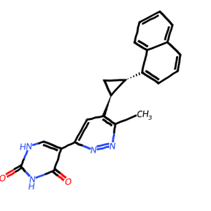 Cc1nnc(-c2c[nH]c(=O)[nH]c2=O)cc1[C@H]1C[C@@H]1c1cccc2ccccc12